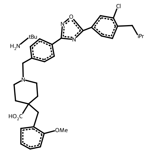 CC(C)(C)N.COc1ccccc1CC1(C(=O)O)CCN(Cc2ccc(-c3noc(-c4ccc(CC(C)C)c(Cl)c4)n3)cc2)CC1